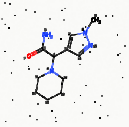 Cn1cc(C(C(N)=O)N2CCCCC2)cn1